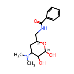 CN(C)C1C[C@@H](CNC(=O)c2ccccc2)O[C@@H](O)C1O